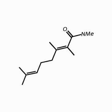 CNC(=O)/C(C)=C(\C)CCC=C(C)C